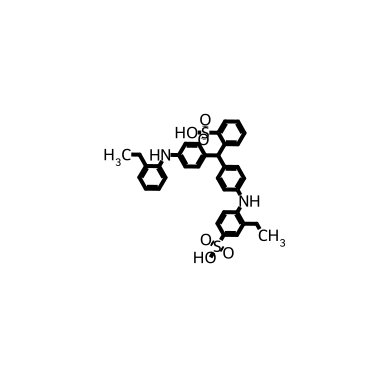 CCc1ccccc1Nc1ccc(C(c2ccc(Nc3ccc(S(=O)(=O)O)cc3CC)cc2)c2ccccc2S(=O)(=O)O)cc1